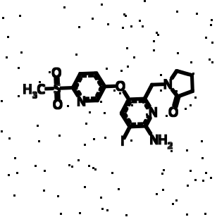 CS(=O)(=O)c1ccc(Oc2cc(I)c(N)nc2CN2CCCC2=O)cn1